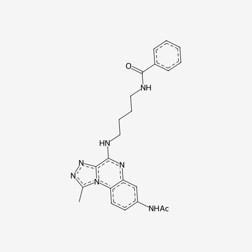 CC(=O)Nc1ccc2c(c1)nc(NCCCCNC(=O)c1ccccc1)c1nnc(C)n12